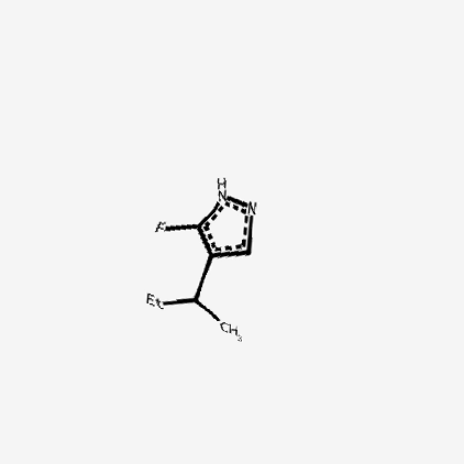 CCC(C)c1cn[nH]c1F